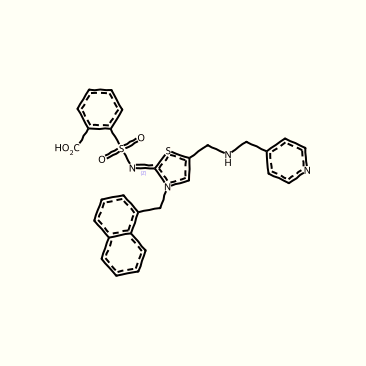 O=C(O)c1ccccc1S(=O)(=O)/N=c1\sc(CNCc2ccncc2)cn1Cc1cccc2ccccc12